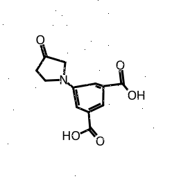 O=C1CCN(c2cc(C(=O)O)cc(C(=O)O)c2)C1